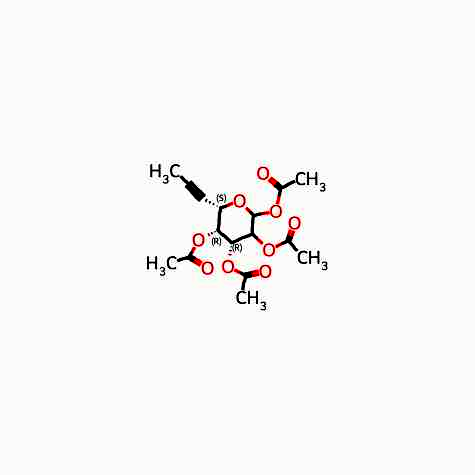 CC#C[C@@H]1OC(OC(C)=O)C(OC(C)=O)[C@H](OC(C)=O)[C@@H]1OC(C)=O